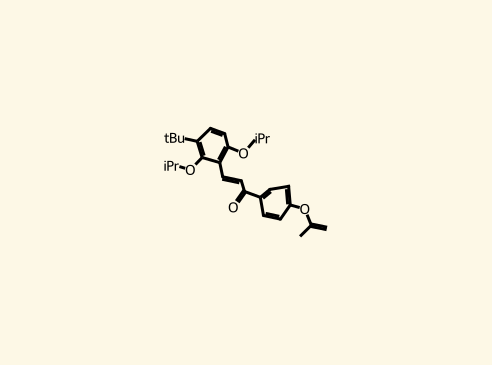 C=C(C)Oc1ccc(C(=O)C=Cc2c(OC(C)C)ccc(C(C)(C)C)c2OC(C)C)cc1